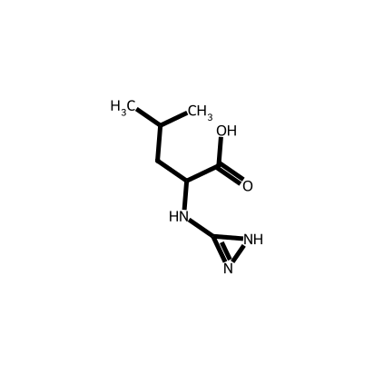 CC(C)CC(NC1=NN1)C(=O)O